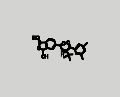 Cc1cc(C)cc(C(=O)N(NC(=O)c2ccc3c(c2)C(O)OB3O)C(C)(C)C)c1